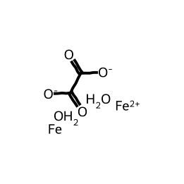 O.O.O=C([O-])C(=O)[O-].[Fe+2].[Fe]